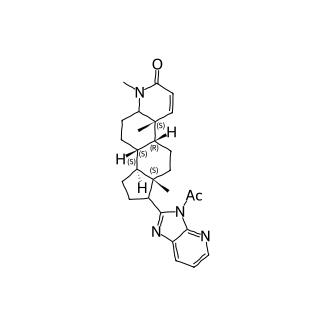 CC(=O)n1c(C2CC[C@H]3[C@@H]4CCC5N(C)C(=O)C=C[C@]5(C)[C@@H]4CC[C@]23C)nc2cccnc21